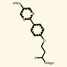 CCCCCCCC(F)CCOc1ccc(-c2ncc(CCCCCC)cn2)cc1